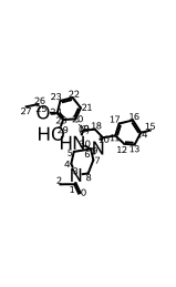 C=C(C)N1CCC2(CC1)N=C(c1ccc(C)cc1)C[C@@H](c1cccc(OCC)c1O)N2